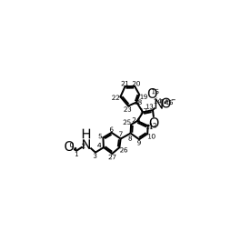 O=CNCc1ccc(-c2ccc3oc([N+](=O)[O-])c(-c4ccccc4)c3c2)cc1